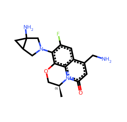 C[C@H]1COc2c(N3CC4CC4(N)C3)c(F)cc3c(CN)cc(=O)n1c23